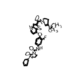 CN(C)C1CCN(C(=O)c2cc3nccc(Oc4ccc(NC(=O)N5CCN(c6ccccc6)C5=O)cc4F)c3s2)C1